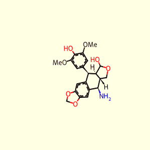 COc1cc([C@@H]2c3cc4c(cc3[C@H](N)[C@H]3COC(O)[C@H]23)OCO4)cc(OC)c1O